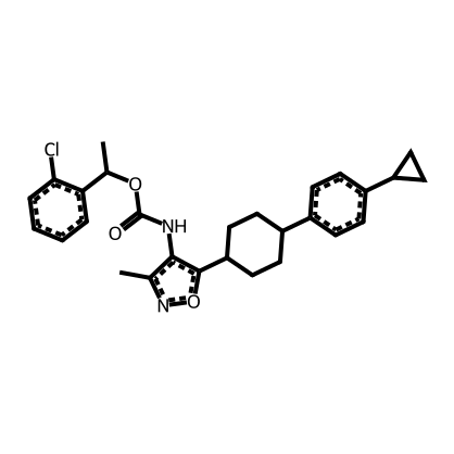 Cc1noc(C2CCC(c3ccc(C4CC4)cc3)CC2)c1NC(=O)OC(C)c1ccccc1Cl